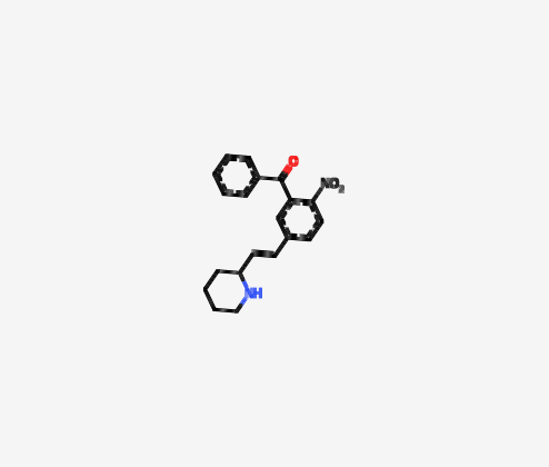 O=C(c1ccccc1)c1cc(C=CC2CCCCN2)ccc1[N+](=O)[O-]